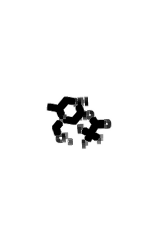 CC1CNCCN1CC(F)(F)F.O=C(O)C(F)(F)F